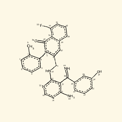 Cc1ccccc1-n1c(CNc2ncnc(N)c2C(=N)c2cccc(O)c2)cc2cccc(F)c2c1=O